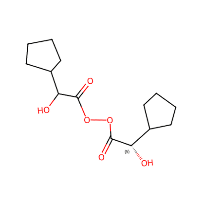 O=C(OOC(=O)[C@@H](O)C1CCCC1)C(O)C1CCCC1